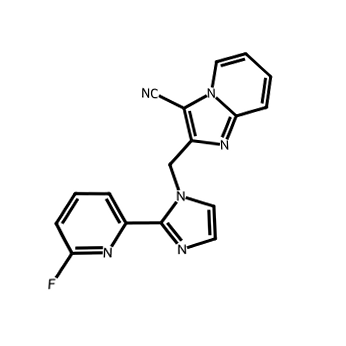 N#Cc1c(Cn2ccnc2-c2cccc(F)n2)nc2ccccn12